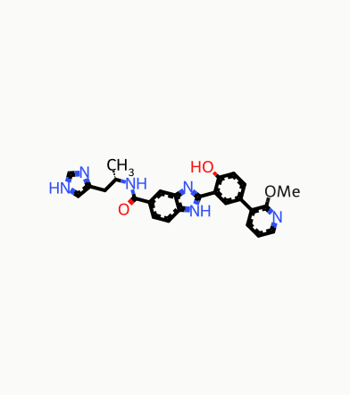 COc1ncccc1-c1ccc(O)c(-c2nc3cc(C(=O)N[C@@H](C)Cc4c[nH]cn4)ccc3[nH]2)c1